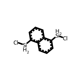 Cl[SiH2]c1cccc2c([SiH2]Cl)cccc12